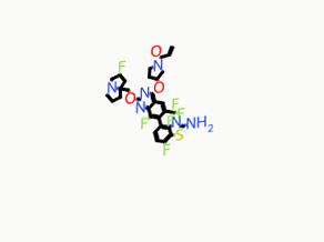 C=CC(=O)N1CCC(Oc2nc(OCC34CCCN3CC(F)C4)nc3c(F)c(-c4ccc(F)c5sc(N)nc45)c(C(F)(F)F)cc23)C1